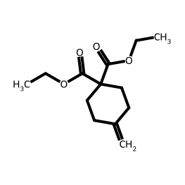 C=C1CCC(C(=O)OCC)(C(=O)OCC)CC1